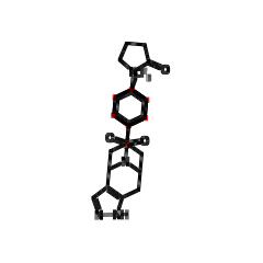 O=C1CCCN1c1ccc(C2CC3Cc4[nH]ncc4C(C2)N3S(=O)(=O)c2ccc(C(F)(F)F)cc2)cc1